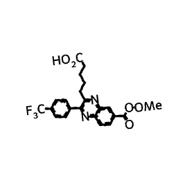 COOC(=O)c1ccc2nc(-c3ccc(C(F)(F)F)cc3)c(CCCCC(=O)O)nc2c1